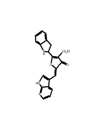 CCOC(=O)C1=C(C2Cc3ccccc3N2)OC(=Cc2c[nH]c3ncccc23)C1=O